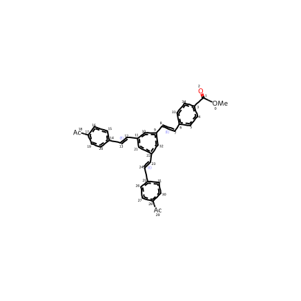 COC(=O)c1ccc(/C=C/c2cc(/C=C/c3ccc(C(C)=O)cc3)cc(/C=C/c3ccc(C(C)=O)cc3)c2)cc1